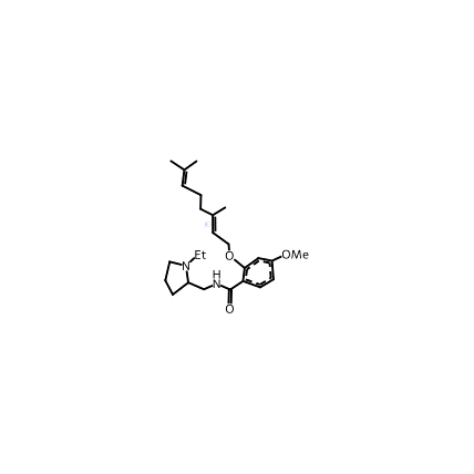 CCN1CCCC1CNC(=O)c1ccc(OC)cc1OC/C=C(\C)CCC=C(C)C